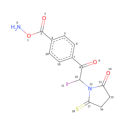 NOC(=O)c1ccc(C(=O)C(I)N2C(=O)CCC2=S)cc1